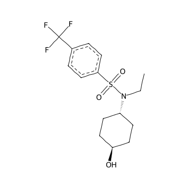 CCN([C@H]1CC[C@H](O)CC1)S(=O)(=O)c1ccc(C(F)(F)F)cc1